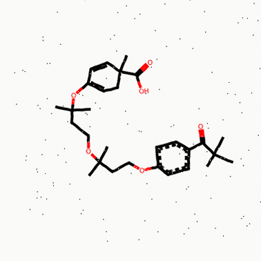 CC(C)(CCOc1ccc(C(=O)C(C)(C)C)cc1)OCCC(C)(C)OC1=CCC(C)(C(=O)O)C=C1